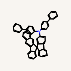 c1ccc(-c2ccc(N(c3ccc(-c4ccccc4)cc3)c3ccc4c(c3)C3(c5ccccc5-4)c4ccccc4-c4cc5ccccc5cc43)cc2)cc1